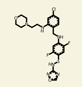 Fc1cc(SNc2ncon2)c(F)cc1NCc1ccc(Cl)cc1NCCN1CCOCC1